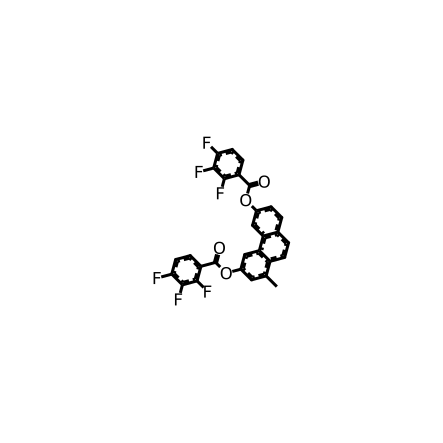 Cc1cc(OC(=O)c2ccc(F)c(F)c2F)cc2c1ccc1ccc(OC(=O)c3ccc(F)c(F)c3F)cc12